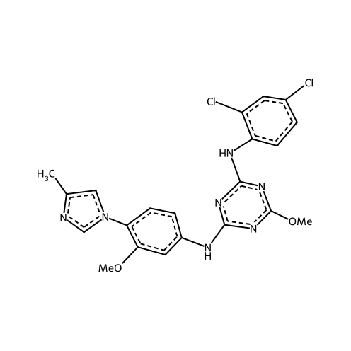 COc1nc(Nc2ccc(-n3cnc(C)c3)c(OC)c2)nc(Nc2ccc(Cl)cc2Cl)n1